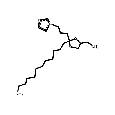 CCCCCCCCCCCCC1(CCCn2ccnc2)SCC(CC)S1